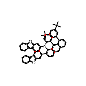 CC(C)(C)c1cc(-c2cccc3cccc(-c4ccccc4N(c4ccc5c(c4)oc4ccccc45)c4ccccc4-c4ccc5c(c4)oc4ccccc45)c23)cc(C(C)(C)C)c1